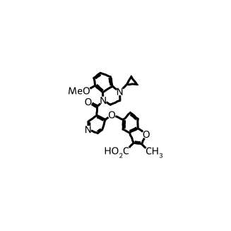 COc1cccc2c1N(C(=O)c1cnccc1Oc1ccc3oc(C)c(C(=O)O)c3c1)CCN2C1CC1